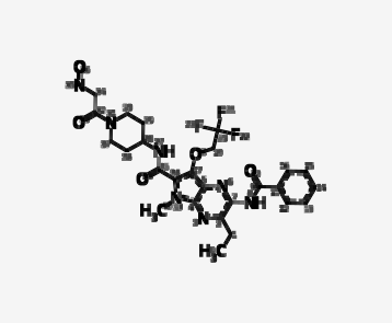 CCc1nc2c(nc1NC(=O)c1ccccc1)c(OCC(F)(F)F)c(C(=O)NC1CCN(C(=O)CN=O)CC1)n2C